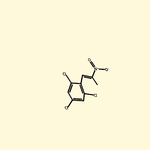 C/C(=C\c1c(Cl)cc(Cl)cc1Cl)[N+](=O)[O-]